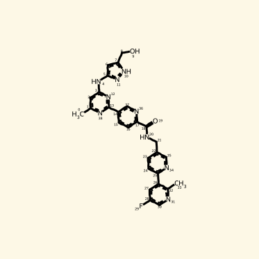 Cc1cc(Nc2cc(CO)[nH]n2)nc(-c2ccc(C(=O)NCc3ccc(-c4cc(F)cnc4C)nc3)nc2)n1